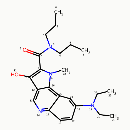 CCCN(CCC)C(=O)c1c(O)c2cnc3ccc(N(CC)CC)cc3c2n1C